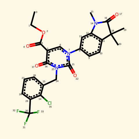 CCOC(=O)c1cn(-c2ccc3c(c2)N(C)C(=O)C3(C)C)c(=O)n(Cc2cccc(C(F)(F)F)c2Cl)c1=O